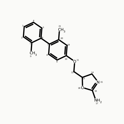 Cc1ccccc1-c1ccc(OCC2CN=C(N)O2)cc1C